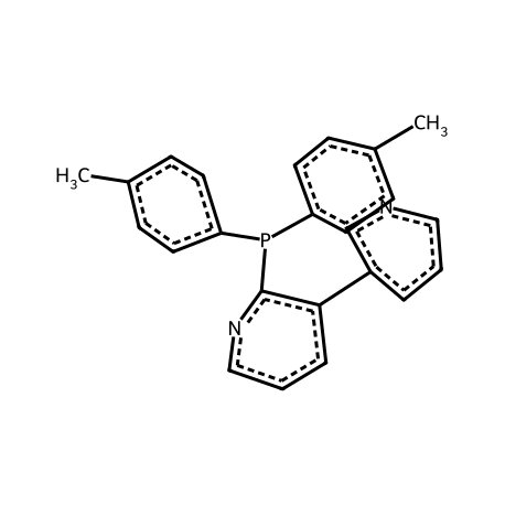 Cc1ccc(P(c2ccc(C)cc2)c2ncccc2-c2cccnc2)cc1